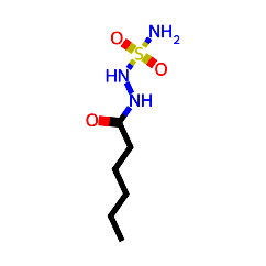 CCCCCC(=O)NNS(N)(=O)=O